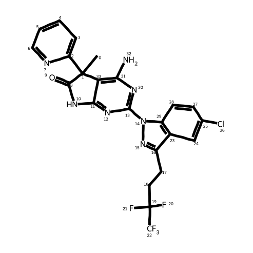 CC1(c2ccccn2)C(=O)Nc2nc(-n3nc(CCC(F)(F)C(F)(F)F)c4cc(Cl)ccc43)nc(N)c21